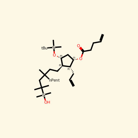 C=CCCC(=O)O[C@H]1C[C@@H](O[Si](C)(C)C(C)(C)C)[C@H](CCC(C)(CCCCC)CC(C)(C)[Si](C)(C)O)[C@H]1CC=C